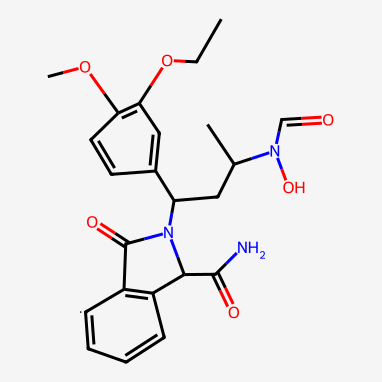 CCOc1cc(C(CC(C)N(O)C=O)N2C(=O)c3[c]cccc3C2C(N)=O)ccc1OC